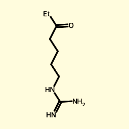 CCC(=O)CCCCNC(=N)N